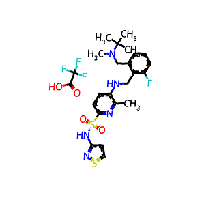 Cc1nc(S(=O)(=O)Nc2ccsn2)ccc1NCc1c(F)cccc1CN(C)C(C)(C)C.O=C(O)C(F)(F)F